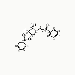 O=C(OC[C@H]1C[C@H](OC(=O)c2ccccc2)[C@@H](F)[C@@H]1O)c1ccccc1